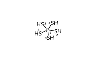 SP(S)(S)(S)S